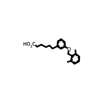 Cc1cccc(C)c1COc1cccc(CCCCCC(=O)O)c1